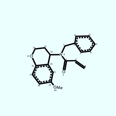 C=CC(=O)N(Cc1ccccc1)C1CCOc2ccc(OC)cc21